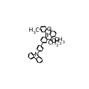 Cc1ccc2c(c1)B1c3ccc(-c4ccc(-n5c6ccccc6c6ccccc65)cc4)cc3C(C)(C)c3c(C)ccc(c31)O2